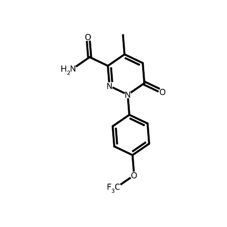 Cc1cc(=O)n(-c2ccc(OC(F)(F)F)cc2)nc1C(N)=O